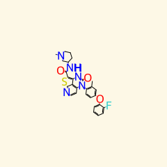 Cc1cc(Oc2ccccc2F)ccc1N1C(=O)Nc2c(C(=O)NC3CCCN(C)C3)sc3nccc1c23